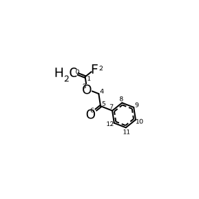 C=C(F)OCC(=O)c1ccccc1